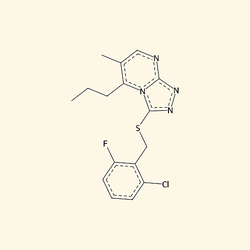 CCCc1c(C)cnc2nnc(SCc3c(F)cccc3Cl)n12